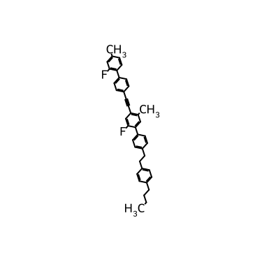 CCCCc1ccc(CCc2ccc(-c3cc(C)c(C#Cc4ccc(-c5ccc(C)cc5F)cc4)cc3F)cc2)cc1